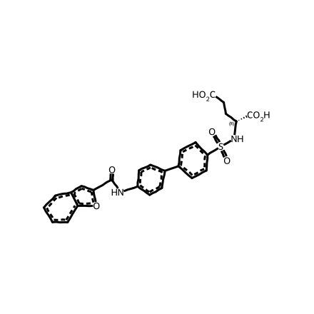 O=C(O)CC[C@@H](NS(=O)(=O)c1ccc(-c2ccc(NC(=O)c3cc4ccccc4o3)cc2)cc1)C(=O)O